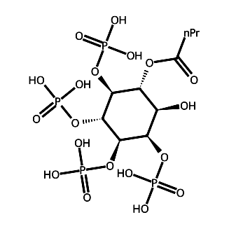 CCCC(=O)O[C@@H]1[C@@H](O)[C@@H](OP(=O)(O)O)[C@@H](OP(=O)(O)O)[C@H](OP(=O)(O)O)[C@H]1OP(=O)(O)O